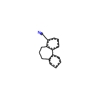 N#Cc1cccc2c1CCCc1ccccc1-2